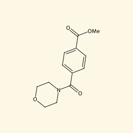 COC(=O)c1ccc(C(=O)N2CCOCC2)cc1